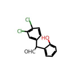 O=CC(c1ccc(Cl)c(Cl)c1)c1ccccc1O